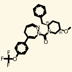 CO[C@@H]1CC[C@H](Cc2ccccc2)N(C(=O)N2C=C(c3ccc(OC(F)(F)F)cc3)CC=C=N2)C1